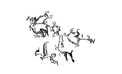 N#CCC(c1csc(C#N)c1)n1cc(-c2ncnc3[nH]ccc23)cn1.O=C(O)C(F)(F)F